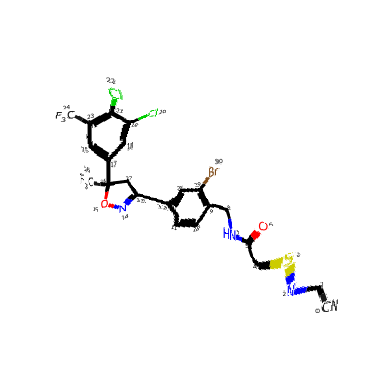 N#CCN=S=CC(=O)NCc1ccc(C2=NOC(c3cc(Cl)c(Cl)c(C(F)(F)F)c3)(C(F)(F)F)C2)cc1Br